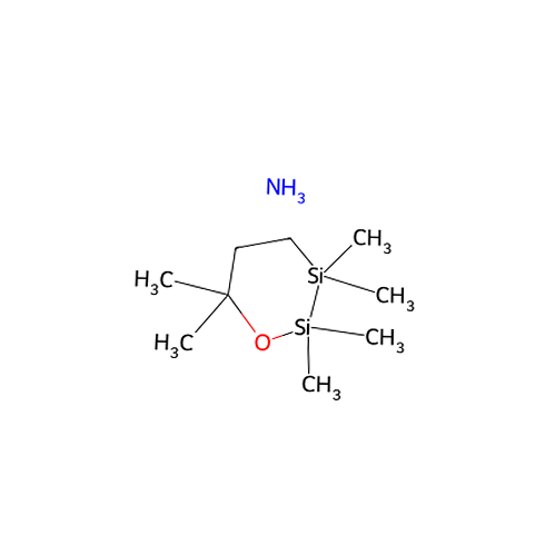 CC1(C)CC[Si](C)(C)[Si](C)(C)O1.N